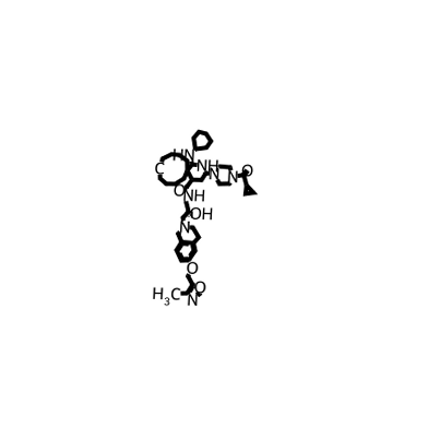 Cc1ncoc1COc1ccc2c(c1)CCN(C[C@@H](O)CNC(=O)C1CC(N3CCN(C(=O)C4CC4)CC3)NC(NC3CCCCC3)C13CCCCCCCCC3)C2